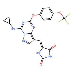 O=C1NC(=O)/C(=C/c2cnn3c(NC4CC4)nc(Oc4ccc(OC(F)(F)F)cc4)nc23)N1